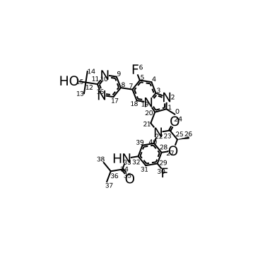 Cc1nc2cc(F)c(-c3cnc(C(C)(C)O)nc3)cn2c1CN1C(=O)[C@@H](C)Oc2c(F)cc(NC(=O)C(C)C)cc21